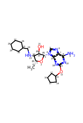 C[C@H]1O[C@@H](n2cnc3c(N)nc(OC4CCCC4)nc32)[C@H](O)[C@H]1NCC1CCCCC1